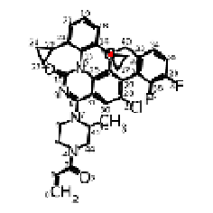 C=CC(=O)N1CCN(c2nc(=O)n(-c3c(C4CC4)cccc3C3CC3)c3c4c(c(Cl)cc23)-c2c(ccc(F)c2F)CO4)[C@@H](C)C1